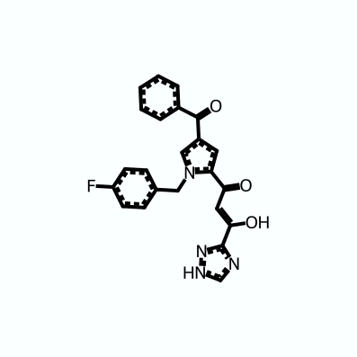 O=C(c1ccccc1)c1cc(C(=O)C=C(O)c2nc[nH]n2)n(Cc2ccc(F)cc2)c1